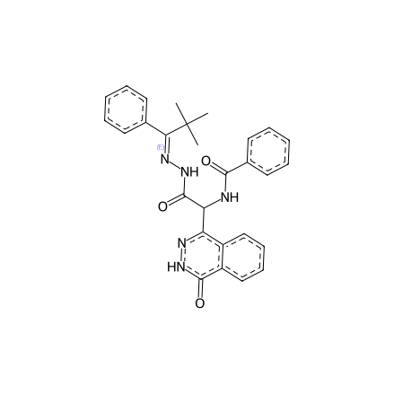 CC(C)(C)/C(=N\NC(=O)C(NC(=O)c1ccccc1)c1n[nH]c(=O)c2ccccc12)c1ccccc1